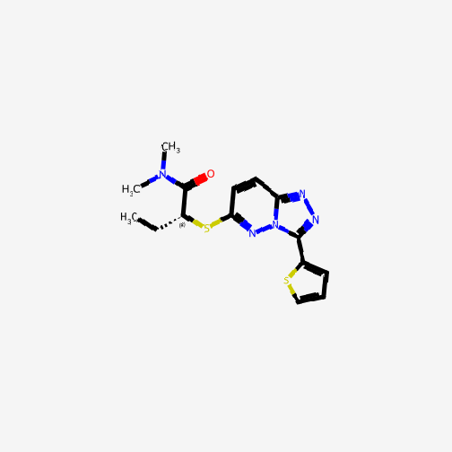 CC[C@@H](Sc1ccc2nnc(-c3cccs3)n2n1)C(=O)N(C)C